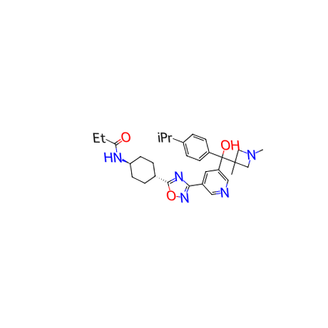 CCC(=O)N[C@H]1CC[C@H](c2nc(-c3cncc(C(O)(c4ccc(C(C)C)cc4)C4(C)CN(C)C4)c3)no2)CC1